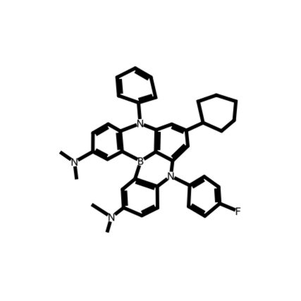 CN(C)c1ccc2c(c1)B1c3cc(N(C)C)ccc3N(c3ccc(F)cc3)c3cc(C4CCCCC4)cc(c31)N2c1ccccc1